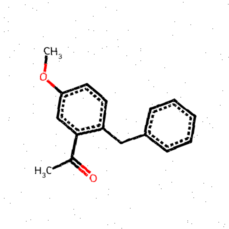 COc1ccc(Cc2ccccc2)c(C(C)=O)c1